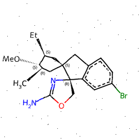 CC[C@H]1C[C@]2(Cc3ccc(Br)cc3[C@@]23COC(N)=N3)C[C@@H](C)[C@@H]1OC